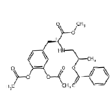 COC(=O)[C@H](Cc1ccc(OC(C)=O)c(OC(C)=O)c1)NCC(C)OC(=O)c1ccccc1